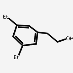 CCc1cc(CC)cc(CCO)c1